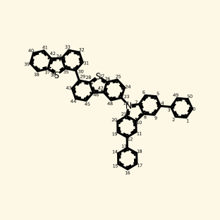 c1ccc(-c2ccc3c(c2)c2cc(-c4ccccc4)ccc2n3-c2ccc3sc4c(-c5cccc6c5sc5ccccc56)cccc4c3c2)cc1